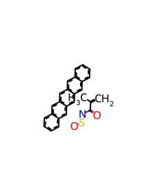 C=C(C)C(=O)N=S=O.c1ccc2cc3cc4cc5ccccc5cc4cc3cc2c1